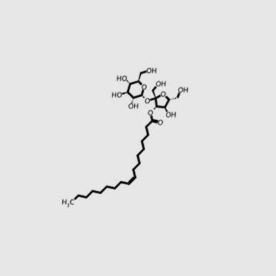 CCCCCCCC/C=C\CCCCCCCC(=O)O[C@H]1[C@H](O)[C@@H](CO)O[C@@]1(CO)O[C@H]1O[C@H](CO)[C@@H](O)[C@H](O)[C@H]1O